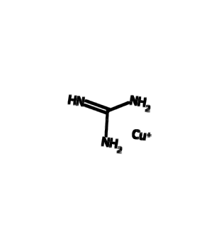 N=C(N)N.[Cu+]